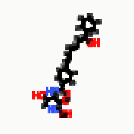 CC(O)C(NC(=O)c1ccc(C#C/C=C/C=C(\O)c2ccccc2)cc1)C(=O)NO